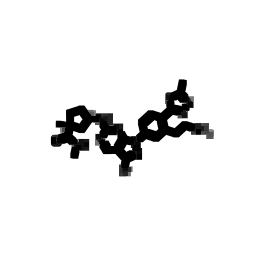 CNC(=O)[C@]1(C)CC[C@@H](Nc2ncc3c(Br)nn(-c4ccc(-c5nnc(C)s5)c(CCN)c4)c3n2)C1